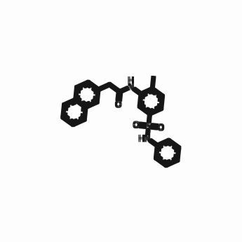 Cc1ccc(S(=O)(=O)Nc2ccccc2)cc1NC(=O)Cc1ccc2ccccc2c1